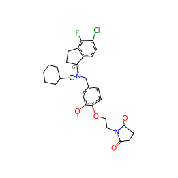 COc1cc(CN(CC2CCCCC2)[C@H]2CCc3c2ccc(Cl)c3F)ccc1OCCN1C(=O)CCC1=O